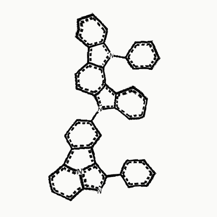 c1ccc(-c2nc3cccc4c5ccc(-n6c7ccccc7c7c6ccc6c8ccccc8n(-c8ccccc8)c67)cc5c2n34)cc1